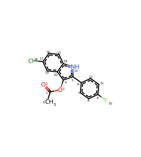 CC(=O)Oc1c(-c2ccc(F)cc2)[nH]c2ccc(Cl)cc12